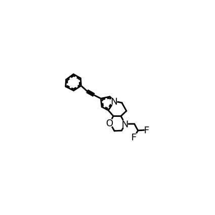 FC(F)CN1CCOC2c3cc(C#Cc4ccccc4)cn3CCC21